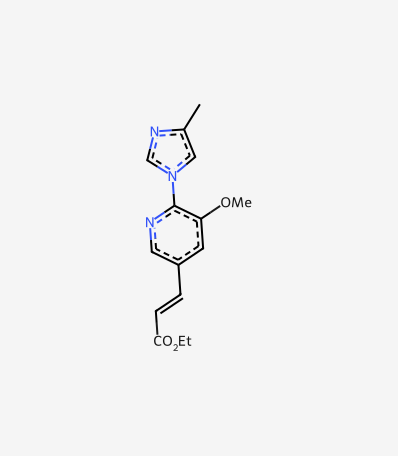 CCOC(=O)C=Cc1cnc(-n2cnc(C)c2)c(OC)c1